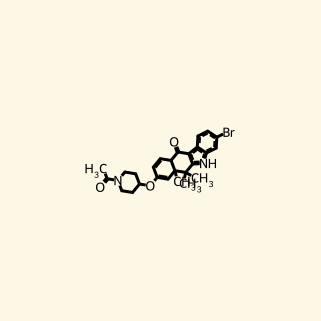 CC(=O)N1CCC(OC2=CC3(C)C(C=C2)C(=O)c2c([nH]c4cc(Br)ccc24)C3(C)C)CC1